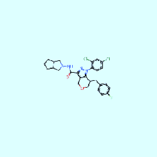 O=C(NN1CC2CCCC2C1)c1nn(-c2ccc(Cl)cc2Cl)c2c1COCC2Cc1ccc(F)cc1